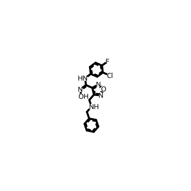 O/N=C(/Nc1ccc(F)c(Cl)c1)c1nonc1CNCc1ccccc1